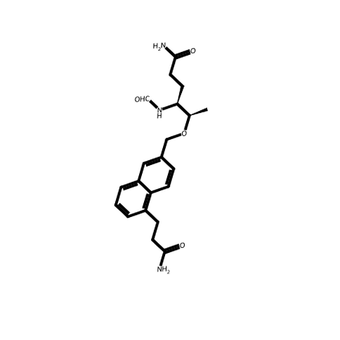 C[C@@H](OCc1ccc2c(CCC(N)=O)cccc2c1)[C@H](CCC(N)=O)NC=O